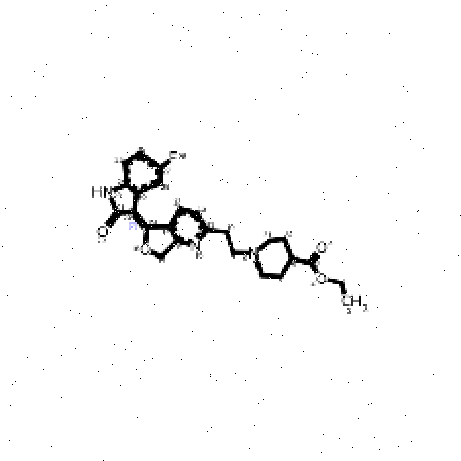 CCOC(=O)C1CCN(CCc2ccc3c(n2)CO/C3=C2\C(=O)Nc3ccc(F)cc32)CC1